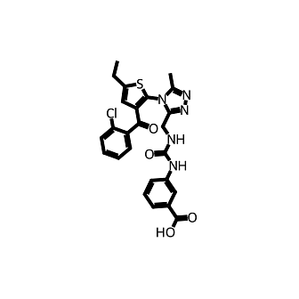 CCc1cc(C(=O)c2ccccc2Cl)c(-n2c(C)nnc2CNC(=O)Nc2cccc(C(=O)O)c2)s1